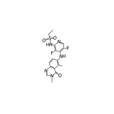 CCS(=O)(=O)Nc1ncc(F)c(Nc2ccc3ncn(C)c(=O)c3c2C)c1F